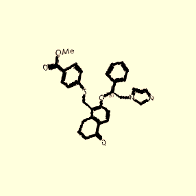 COC(=O)c1ccc(SCc2c(O[C@H](Cn3ccnc3)c3ccccc3)ccc3c2CCCC3=O)cc1